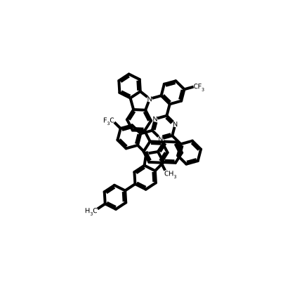 Cc1ccc(-c2ccc3c4ccccc4n(-c4ccc(C(F)(F)F)cc4-c4nc(-c5ccccc5)nc(-c5cc(C(F)(F)F)ccc5-n5c6ccccc6c6ccc(-c7ccc(C)cc7)cc65)n4)c3c2)cc1